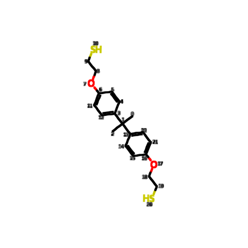 CC(C)(c1ccc(OCCS)cc1)c1ccc(OCCS)cc1